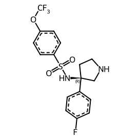 O=S(=O)(N[C@@]1(c2ccc(F)cc2)CCNC1)c1ccc(OC(F)(F)F)cc1